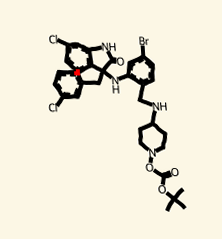 CC(C)(C)OC(=O)ON1CCC(NCc2ccc(Br)cc2NC2(Cc3cccc(Cl)c3)C(=O)Nc3cc(Cl)ccc32)CC1